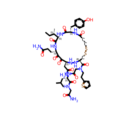 CC[C@H](C)[C@@H]1NC(=O)[C@H](Cc2ccc(O)cc2)NC(=O)CCSSC[C@@H](C(=O)N(CCc2cccs2)CC(=O)N[C@@H](CC(C)C)C(=O)NCC(N)=O)NN[C@@H](CC(N)=O)C(=O)C(=O)[C@H](CCC(N)=O)NC1=O